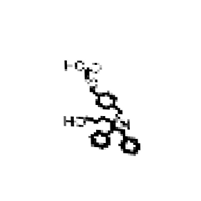 O=C(O)COCC1CCC(Cn2nc(-c3ccccc3)c(-c3ccccc3)c2CCCO)CC1